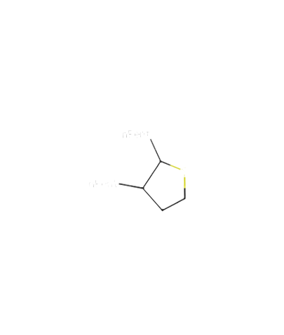 CCCCCC1CCSC1CCCCC